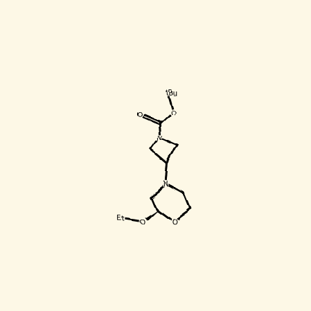 CCO[C@H]1CN(C2CN(C(=O)OC(C)(C)C)C2)CCO1